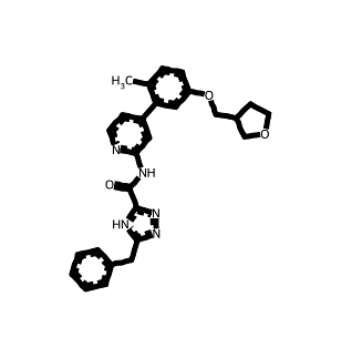 Cc1ccc(OCC2CCOC2)cc1-c1ccnc(NC(=O)c2nnc(Cc3ccccc3)[nH]2)c1